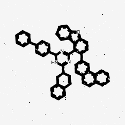 C1=CC(C2=NC(c3c(-c4ccc5ccc6ccccc6c5c4)ccc4oc5ccccc5c34)=NC(c3ccc(-c4ccccc4)cc3)N2)Cc2ccccc21